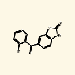 O=C(c1ccc2[nH]c(=O)sc2c1)c1ccccc1Br